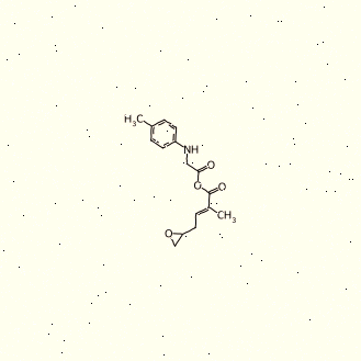 CC(=CCC1CO1)C(=O)OC(=O)CNc1ccc(C)cc1